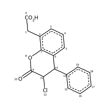 O=C(O)Cc1cccc2c1OC(=O)C(Cl)C2c1ccccc1